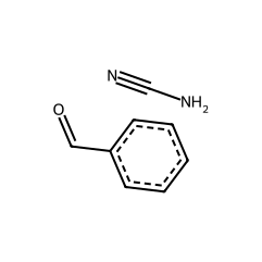 N#CN.O=Cc1ccccc1